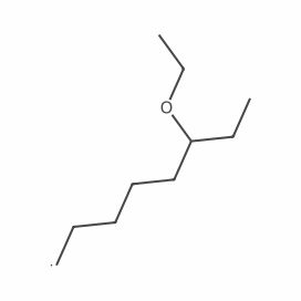 [CH2]CCCCC(CC)OCC